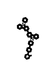 CC1C=CC=CC1c1ccc(-c2ccc(-n3c4ccccc4c4cc(-c5ccc6c(c5)c5ccccc5n6-c5ccccc5)ccc43)cc2)cc1